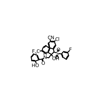 N#Cc1ccc(C(C(O)(CNC(=O)c2ccccc2O)c2cccc(C(F)(F)F)c2)S(=O)(=O)c2cccc(F)c2)cc1Cl